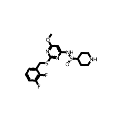 COc1cc(N[S+]([O-])C2CCNCC2)nc(SCc2cccc(F)c2F)n1